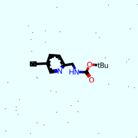 C#Cc1ccc(CNC(=O)OC(C)(C)C)nc1